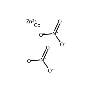 O=[N+]([O-])[O-].O=[N+]([O-])[O-].[Co].[Zn+2]